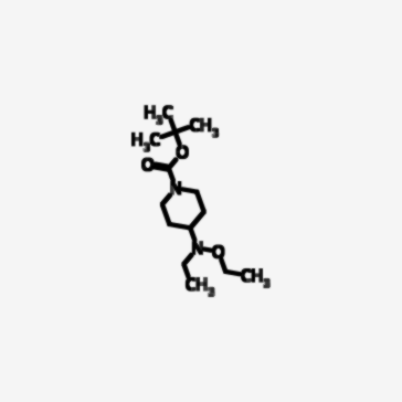 CCON(CC)C1CCN(C(=O)OC(C)(C)C)CC1